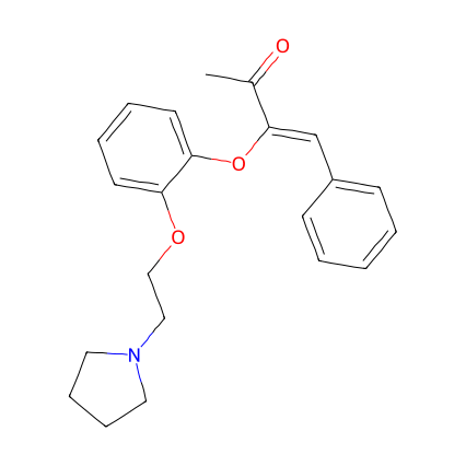 CC(=O)C(=Cc1ccccc1)Oc1ccccc1OCCN1CCCC1